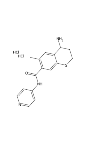 Cc1cc2c(cc1C(=O)Nc1ccncc1)SCCC2N.Cl.Cl